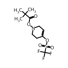 CC(C)(C)C(=O)ON1CC=C(OS(=O)(=O)C(F)(F)F)CC1